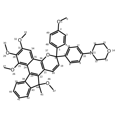 COc1ccc(C2(c3ccc(N4CCOCC4)cc3)C=Cc3c4c(c5c(OC)c(OC)c(OC)cc5c3O2)-c2ccccc2C4(C)OC)cc1